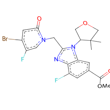 COC(=O)c1cc(F)c2nc(Cn3cc(F)c(Br)cc3=O)n(C3COCC3(C)C)c2c1